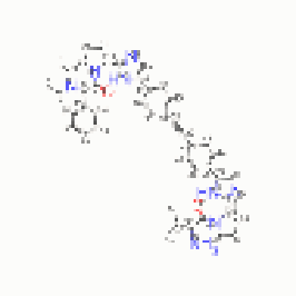 CCN(CC)[C@@H](C(=O)N1CCC[C@H]1c1ncc(-c2ccc(C#Cc3ccc(-c4cnc([C@@H]5CCCN5C(=O)[C@@H](N)C(C)C)[nH]4)cc3)cc2)[nH]1)c1ccccc1